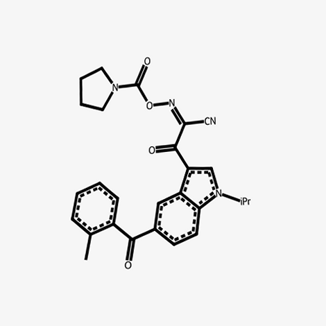 Cc1ccccc1C(=O)c1ccc2c(c1)c(C(=O)/C(C#N)=N\OC(=O)N1CCCC1)cn2C(C)C